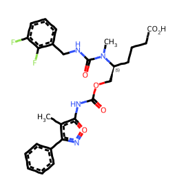 Cc1c(-c2ccccc2)noc1NC(=O)OC[C@H](CCCC(=O)O)N(C)C(=O)NCc1cccc(F)c1F